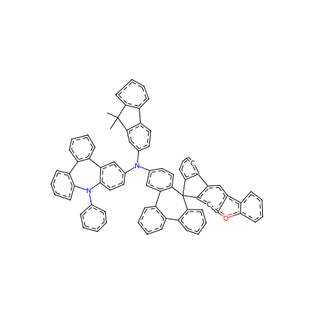 CC1(C)c2ccccc2-c2ccc(N(c3ccc4c(c3)-c3ccccc3-c3ccccc3N4c3ccccc3)c3ccc4c(c3)-c3ccccc3-c3ccccc3C43c4ccccc4-c4cc5c(cc43)oc3ccccc35)cc21